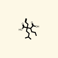 C=CCC(CCC(C)C)(C(=O)O)C(CCC)C(=O)O